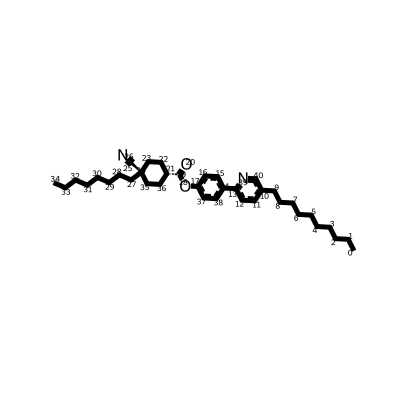 CCCCCCCCCCc1ccc(-c2ccc(OC(=O)[C@H]3CC[C@@](C#N)(CCCCCCCC)CC3)cc2)nc1